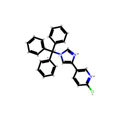 Clc1ccc(-c2cn(C(c3ccccc3)(c3ccccc3)c3ccccc3)cn2)cn1